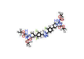 Cn1c(-c2cc(F)c(C3=CCN(/C(=N\C(=O)OC(C)(C)C)NC(=O)OC(C)(C)C)CC3)c(F)c2)nnc1-c1ccc(C2=CCN(/C(=N\C(=O)OC(C)(C)C)NC(=O)OC(C)(C)C)CC2)cc1F